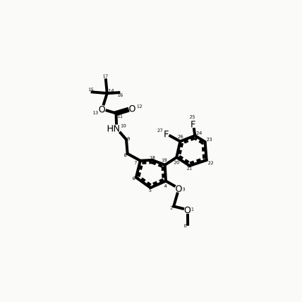 COCOc1ccc(CCNC(=O)OC(C)(C)C)cc1-c1cccc(F)c1F